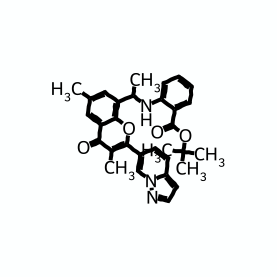 Cc1cc(C(C)Nc2ccccc2C(=O)OC(C)(C)C)c2oc(-c3ccc4ccnn4c3)c(C)c(=O)c2c1